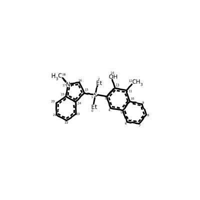 CCS(CC)(c1cc2ccccc2c(C)c1O)c1cn(C)c2ccccc12